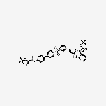 CC(C)(C)OC(=O)NCc1ccc(-c2ccc(S(=O)(=O)n3ccc(C=CC(=O)Nc4ccccc4NC(=O)OC(C)(C)C)c3)cc2)cc1